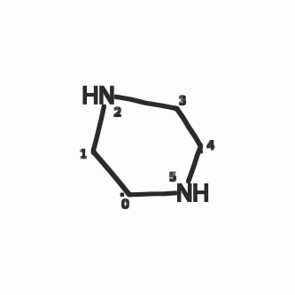 [CH]1CNC[CH]N1